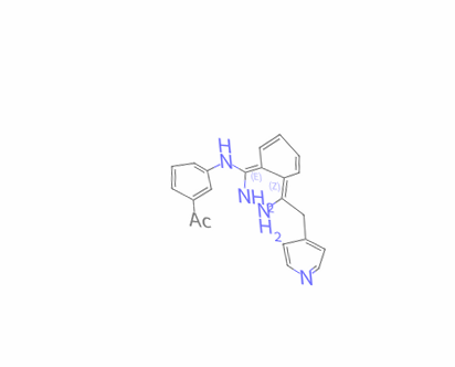 CC(=O)c1cccc(N/C(N)=c2\cccc\c2=C(\N)Cc2ccncc2)c1